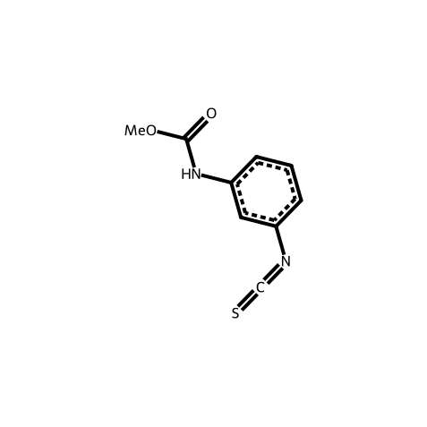 COC(=O)Nc1cccc(N=C=S)c1